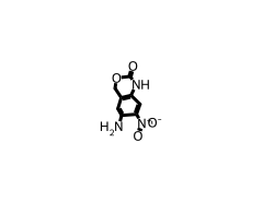 Nc1cc2c(cc1[N+](=O)[O-])NC(=O)OC2